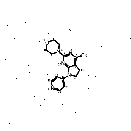 Clc1nc(N2CCOCC2)nc2c1CCN2c1ccncc1